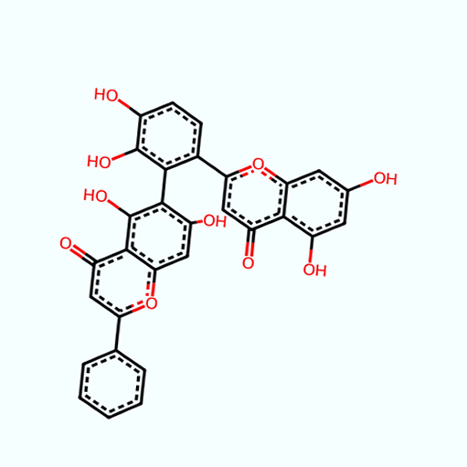 O=c1cc(-c2ccc(O)c(O)c2-c2c(O)cc3oc(-c4ccccc4)cc(=O)c3c2O)oc2cc(O)cc(O)c12